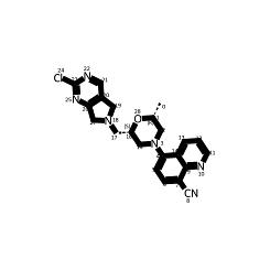 C[C@@H]1CN(c2ccc(C#N)c3ncccc23)C[C@H](CN2Cc3cnc(Cl)nc3C2)O1